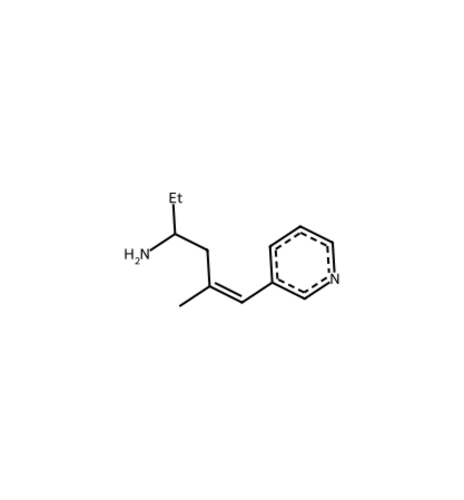 CCC(N)CC(C)=Cc1cccnc1